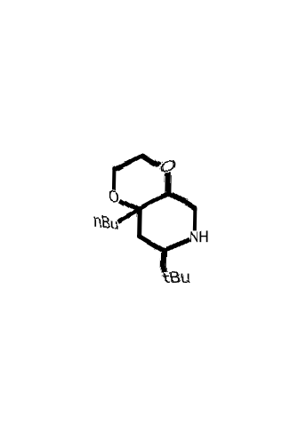 CCCCC12CC(C(C)(C)C)NCC1OCCO2